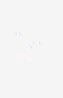 CC(C)(C)OC=O.Nc1cnn(N2CCC2)c1